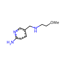 COCCNCc1ccc(N)nc1